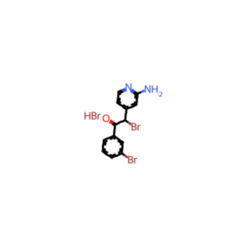 Br.Nc1cc(C(Br)C(=O)c2cccc(Br)c2)ccn1